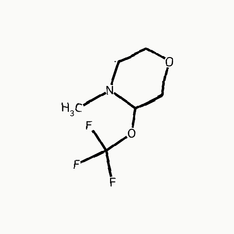 CN1[CH]COCC1OC(F)(F)F